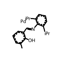 Cc1cccc(C=Nc2c(C(C)C)cccc2C(C)C)c1O.[Pd]